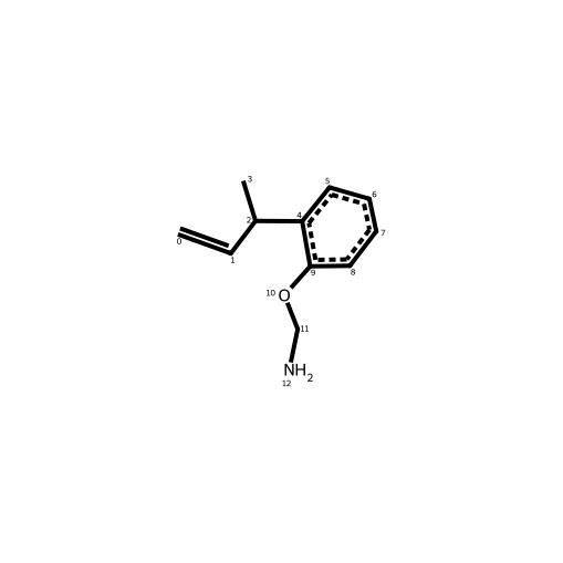 C=CC(C)c1ccccc1OCN